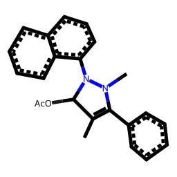 CC(=O)OC1C(C)=C(c2ccccc2)N(C)N1c1cccc2ccccc12